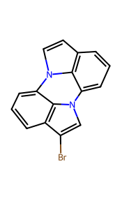 Brc1cn2c3cccc4ccn(c5cccc1c52)c43